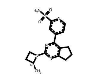 C[C@H]1CCN1c1nc2c(c(-c3ccnc(S(N)(=O)=O)c3)n1)CCC2